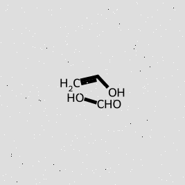 C=CO.O=CO